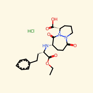 CCOC(=O)[C@H](CCc1ccccc1)N[C@H]1CCC(=O)N2CCC[C@@H](C(=O)O)N2C1=O.Cl